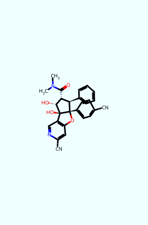 CN(C)C(=O)[C@H]1[C@@H](O)[C@@]2(O)c3cnc(C#N)cc3O[C@@]2(c2ccc(C#N)cc2)[C@@H]1c1ccccc1